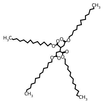 CCCCCCCCCCCCCOC(=O)CC(C(=O)OCCCCCCCCCCCCC)C(CC(=O)OCCCCCCCCCCCCC)C(=O)OCCCCCCCCCCCCC